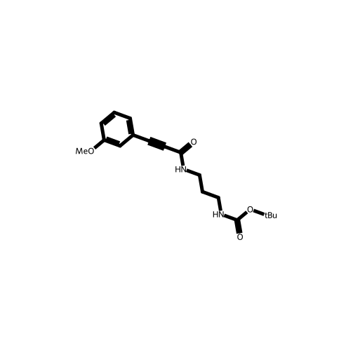 COc1cccc(C#CC(=O)NCCCNC(=O)OC(C)(C)C)c1